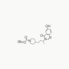 CC(CCC1CCN(C(=O)OC(C)(C)C)CC1)n1cnc2ccc(O)cc2c1=O